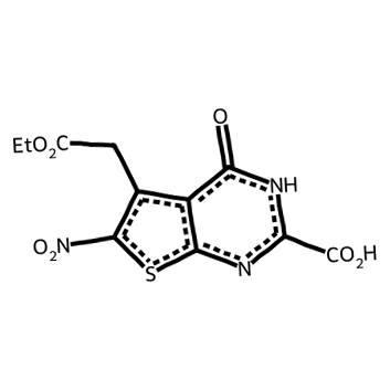 CCOC(=O)Cc1c([N+](=O)[O-])sc2nc(C(=O)O)[nH]c(=O)c12